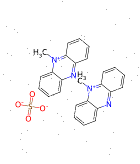 C[n+]1c2ccccc2nc2ccccc21.C[n+]1c2ccccc2nc2ccccc21.O=S(=O)([O-])[O-]